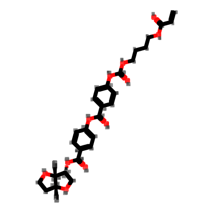 C=CC(=O)OCCCCOC(=O)Oc1ccc(C(=O)Oc2ccc(C(=O)O[C@@H]3CO[C@@H]4CCO[C@@H]43)cc2)cc1